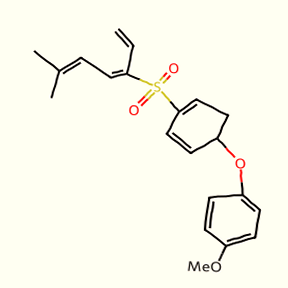 C=C/C(=C\C=C(C)C)S(=O)(=O)C1=CCC(Oc2ccc(OC)cc2)C=C1